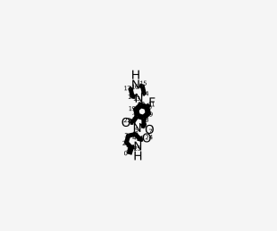 C=C1CCC(N2C(=O)c3cc(F)c(N4CCNCC4)cc3C2=O)C(=O)N1